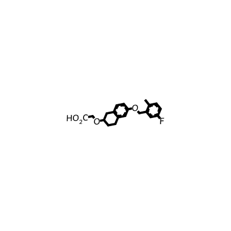 Cc1ccc(F)cc1COc1ccc2c(c1)CCC(OCC(=O)O)C2